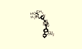 C=C(O)CN(C)Cc1cncc(-c2noc(-c3ccc(-c4ccccc4C)c(C)c3)n2)c1